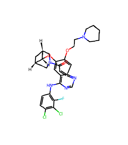 C=CC(=O)N1C[C@H]2C[C@@H](C1)[C@H]2Oc1cc2c(Nc3ccc(Cl)c(Cl)c3F)ncnc2cc1OCCN1CCCCC1